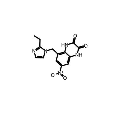 CCc1nccn1Cc1cc([N+](=O)[O-])cc2[nH]c(=O)c(=O)[nH]c12